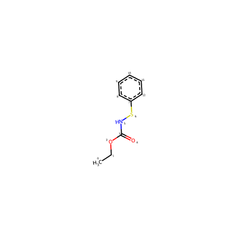 CCOC(=O)NSc1ccccc1